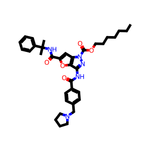 CCCCCCCOC(=O)n1nc(NC(=O)c2ccc(CN3CCCC3)cc2)c2oc(C(=O)NC(C)(C)c3ccccc3)cc21